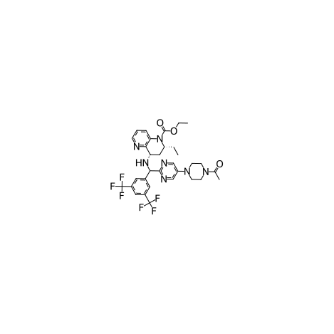 CCOC(=O)N1c2cccnc2[C@@H](NC(c2cc(C(F)(F)F)cc(C(F)(F)F)c2)c2ncc(N3CCN(C(C)=O)CC3)cn2)C[C@H]1CC